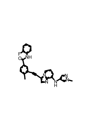 Cc1ccc(C(=O)Nc2ccccc2F)cc1C#Cc1cnc2c(Nc3cnn(C)c3)cccn12